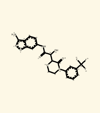 Nc1noc2cc(NC(=O)C(O)C3OCCN(c4cccc(C(F)(F)F)c4)C3=O)ccc12